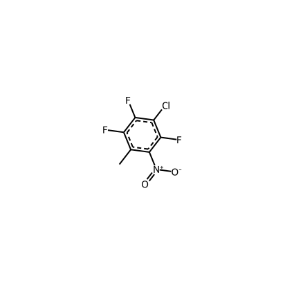 Cc1c(F)c(F)c(Cl)c(F)c1[N+](=O)[O-]